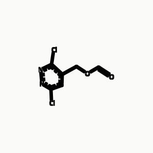 O=COCc1cc(Cl)nnc1Cl